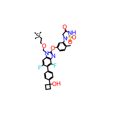 Cc1ccc(Oc2nc3c(F)c(-c4ccc(C5(O)CCC5)cc4)c(F)cc3n2COCC[Si](C)(C)C)cc1N1CC(=O)NS1(=O)=O